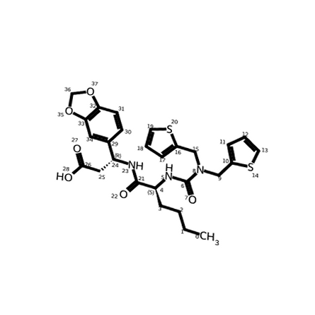 CCCC[C@H](NC(=O)N(Cc1cccs1)Cc1cccs1)C(=O)N[C@H](CC(=O)O)c1ccc2c(c1)OCO2